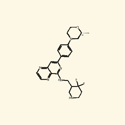 C[C@@H]1CN(c2ccc(-c3cc4nccnc4c(NCC4CNCCC4(F)F)n3)cc2)CCO1